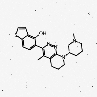 Cc1c(-c2ccc3sccc3c2O)nnc2c1CCCN2[C@@H]1CCCN(C)C1